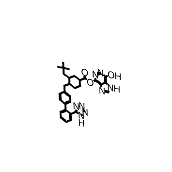 CC(C)(C)CC1CC(C(=O)Oc2nnc(O)c3[nH]cnc23)CCC1Cc1ccc(-c2ccccc2-c2nnn[nH]2)cc1